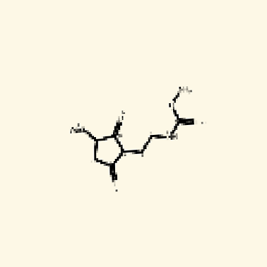 CSC1CC(=O)C(CCNC(=O)ON)C1=O